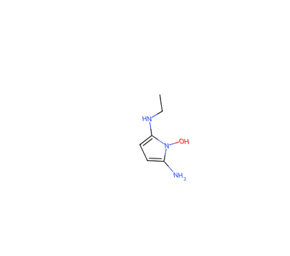 CCNc1ccc(N)n1O